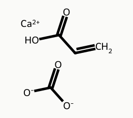 C=CC(=O)O.O=C([O-])[O-].[Ca+2]